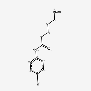 CCCCCCCCCCCCCC(=O)Nc1c[c]c(Cl)cc1